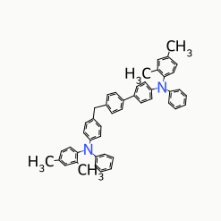 Cc1ccc(N(c2ccccc2)c2ccc(Cc3ccc(-c4ccc(N(c5ccccc5)c5ccc(C)cc5C)cc4)cc3)cc2)c(C)c1